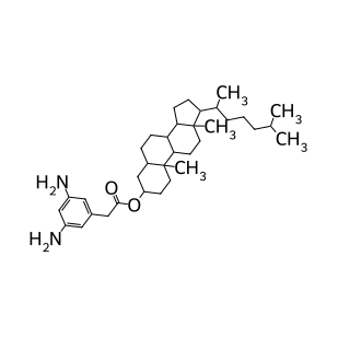 CC(C)CCCC(C)C1CCC2C3CCC4CC(OC(=O)Cc5cc(N)cc(N)c5)CCC4(C)C3CCC12C